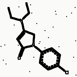 CCN(CC)C1=CC(=O)N(c2ccc(Cl)cc2)C1